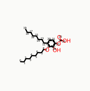 CCCCCCCCCOc1c(CCCCCCCC)ccc(OC(=O)O)c1O